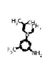 C=CN(C=C(C)C)c1cc(N)cc(C(F)(F)F)c1